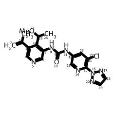 C=C(C)c1cncc(NC(=O)Nc2cnc(-n3nccn3)c(Cl)c2)c1C(C)OC